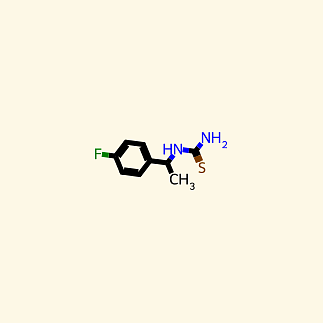 CC(NC(N)=S)c1ccc(F)cc1